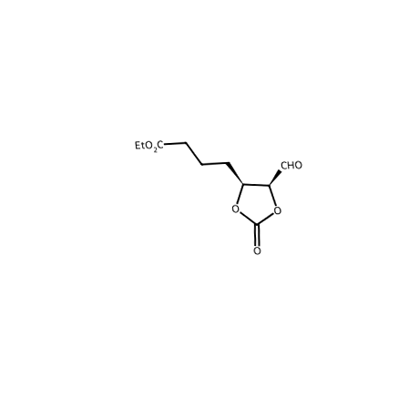 CCOC(=O)CCC[C@@H]1OC(=O)O[C@@H]1C=O